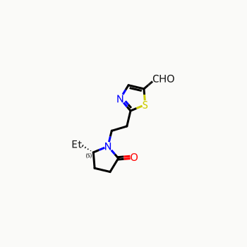 CC[C@H]1CCC(=O)N1CCc1ncc(C=O)s1